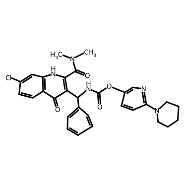 CN(C)C(=O)c1[nH]c2cc(Cl)ccc2c(=O)c1C(NC(=O)Oc1ccc(N2CCCCC2)nc1)c1ccccc1